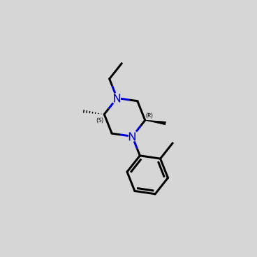 CCN1C[C@@H](C)N(c2ccccc2C)C[C@@H]1C